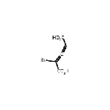 CCC(=C=CC(=O)O)C(=O)O